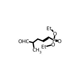 CCOP(=O)(C=CCC(C)C=O)OCC